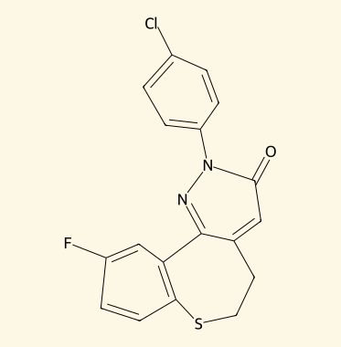 O=c1cc2c(nn1-c1ccc(Cl)cc1)-c1cc(F)ccc1SCC2